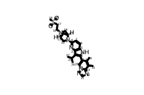 Cc1c(-c2[nH]c3ccc(N4C[C@@H]5C[C@H]4CN5CCS(C)(=O)=O)nc3c2C(C)C)cn2ncnc2c1C